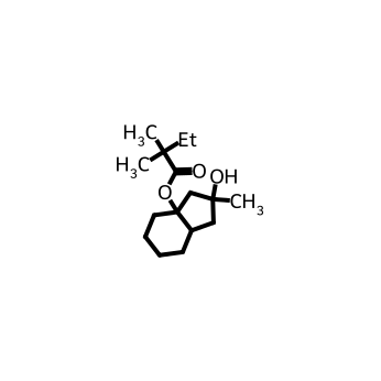 CCC(C)(C)C(=O)OC12CCCCC1CC(C)(O)C2